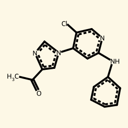 CC(=O)c1cn(-c2cc(Nc3ccccc3)ncc2Cl)cn1